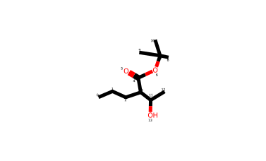 CCCC(C(=O)OC(C)(C)C)C(C)O